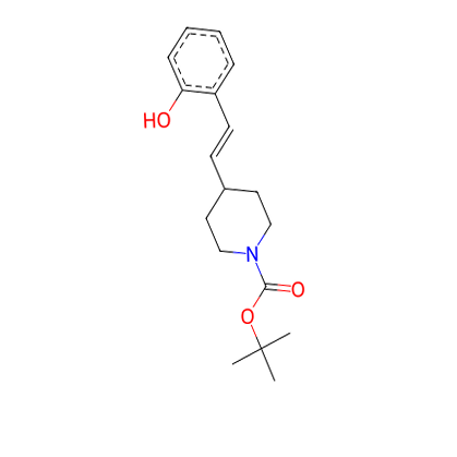 CC(C)(C)OC(=O)N1CCC(/C=C/c2ccccc2O)CC1